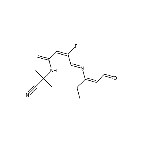 C=C(\C=C(F)/C=N/C(=C\C=O)CC)NC(C)(C)C#N